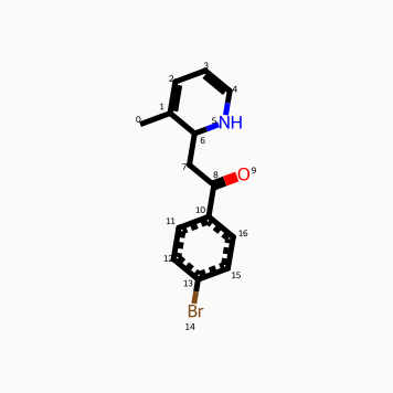 CC1=CC=CNC1CC(=O)c1ccc(Br)cc1